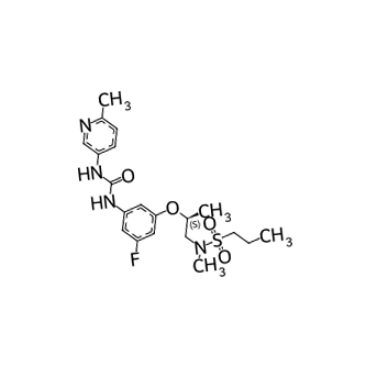 CCCS(=O)(=O)N(C)C[C@H](C)Oc1cc(F)cc(NC(=O)Nc2ccc(C)nc2)c1